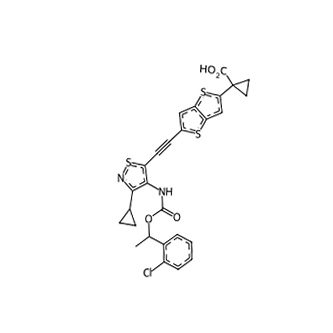 CC(OC(=O)Nc1c(C2CC2)nsc1C#Cc1cc2sc(C3(C(=O)O)CC3)cc2s1)c1ccccc1Cl